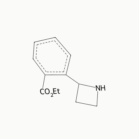 CCOC(=O)c1ccccc1C1CCN1